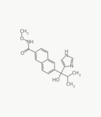 CONC(=O)c1ccc2cc(C(O)(c3c[nH]cn3)C(C)C)ccc2c1